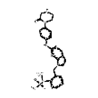 CN(c1ncccc1Cn1ccc2cnc(Nc3ccc(N4CCNCC4=O)cc3)nc21)S(C)(=O)=O